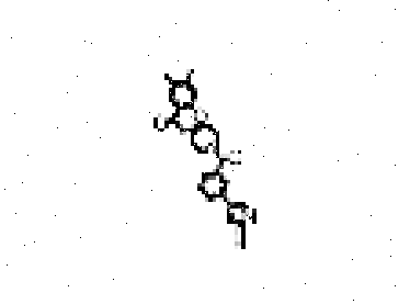 Cc1cc2c(cc1C)C(=O)CC1(CCN(C(=O)c3cccc(-c4cn[nH]c4)c3)CC1)O2